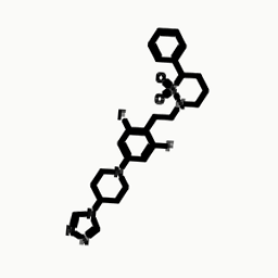 O=S1(=O)C(c2ccccc2)CCCN1CCc1c(F)cc(N2CCC(n3cnnc3)CC2)cc1F